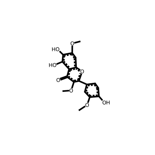 COc1cc(-c2oc3cc(OC)c(O)c(O)c3c(=O)c2OC)ccc1O